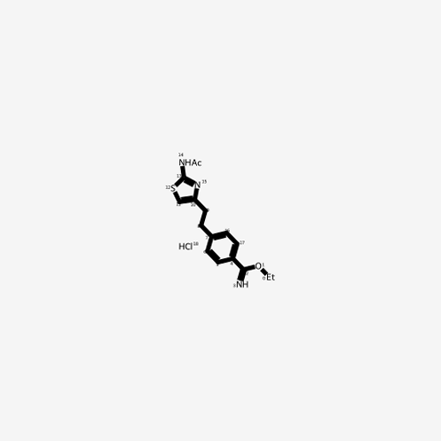 CCOC(=N)c1ccc(CCc2csc(NC(C)=O)n2)cc1.Cl